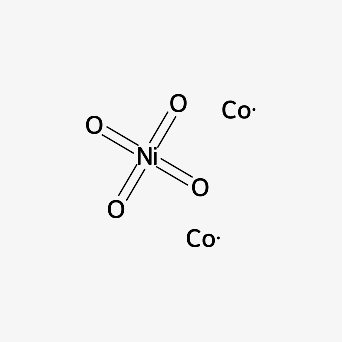 [Co].[Co].[O]=[Ni](=[O])(=[O])=[O]